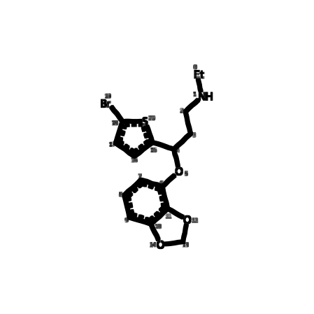 CCNCCC(Oc1cccc2c1OCO2)c1ccc(Br)s1